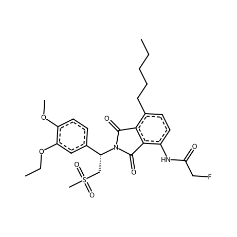 CCCCCc1ccc(NC(=O)CF)c2c1C(=O)N([C@H](CS(C)(=O)=O)c1ccc(OC)c(OCC)c1)C2=O